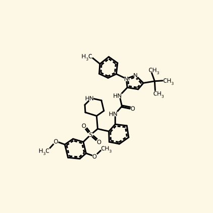 COc1ccc(OC)c(S(=O)(=O)C(c2ccccc2NC(=O)Nc2cc(C(C)(C)C)nn2-c2ccc(C)cc2)C2CCNCC2)c1